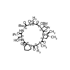 C=C[C@H](C)C[C@@H]1NC(=O)[C@H](C(O)C(C)C)N(C)C(=O)[C@H](C)N(C)C(=O)[C@@H]([C@@H](C)CC)NC(=O)[C@@H]([C@H](O)C(C)C)NC(=O)[C@H]2CCCCN2C(=O)[C@H](C)N(C)C1=O